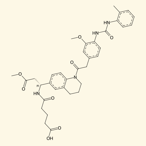 COC(=O)C[C@@H](NC(=O)CCCC(=O)O)c1ccc2c(c1)CCCN2C(=O)Cc1ccc(NC(=O)Nc2ccccc2C)c(OC)c1